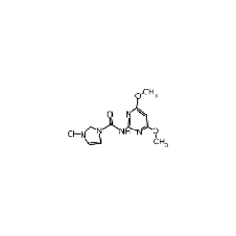 COc1cc(OC)nc(NC(=O)N2C=CN(Cl)C2)n1